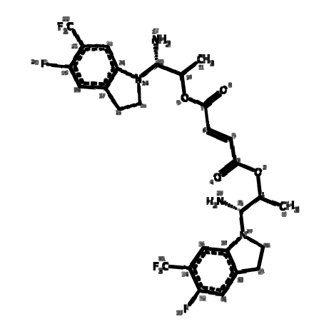 CC(OC(=O)/C=C/C(=O)OC(C)[C@@H](N)N1CCc2cc(F)c(C(F)(F)F)cc21)[C@@H](N)N1CCc2cc(F)c(C(F)(F)F)cc21